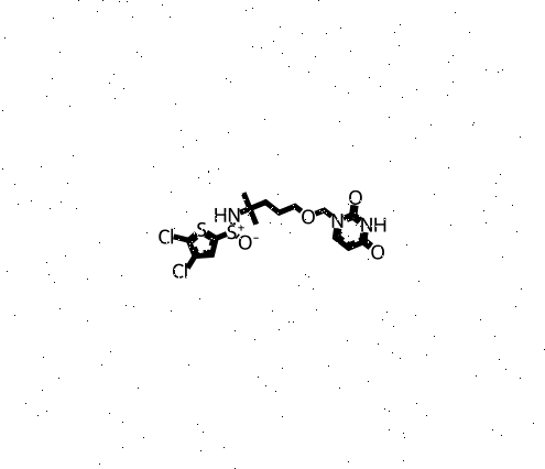 CC(C)(CCCOCn1ccc(=O)[nH]c1=O)N[S+]([O-])c1cc(Cl)c(Cl)s1